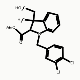 COC(=O)C1N(Cc2ccc(Cl)c(Cl)c2)c2ccccc2C1(C)CC(=O)O